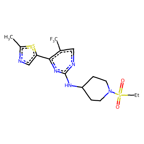 CCS(=O)(=O)N1CCC(Nc2ncc(C(F)(F)F)c(-c3cnc(C)s3)n2)CC1